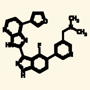 CN(C)Cc1cncc(-c2ccc3[nH]nc(-c4nc5c(-c6ccoc6)ccnc5[nH]4)c3c2F)c1